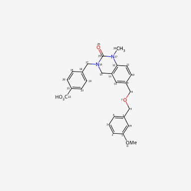 COc1cccc(COCc2ccc3c(c2)CN(Cc2ccc(C(=O)O)cc2)C(=O)N3C)c1